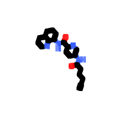 C#CCCCC(=O)Nc1ccc(C(=O)Nc2cccc3cccnc23)nc1